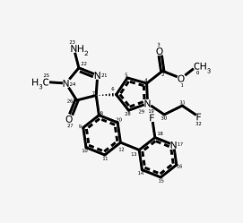 COC(=O)c1cc([C@@]2(c3cccc(-c4cccnc4F)c3)N=C(N)N(C)C2=O)cn1CCF